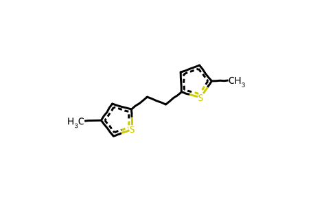 Cc1csc(CCc2ccc(C)s2)c1